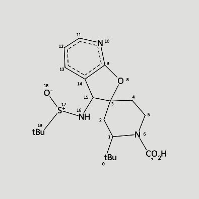 CC(C)(C)C1CC2(CCN1C(=O)O)Oc1ncccc1C2N[S+]([O-])C(C)(C)C